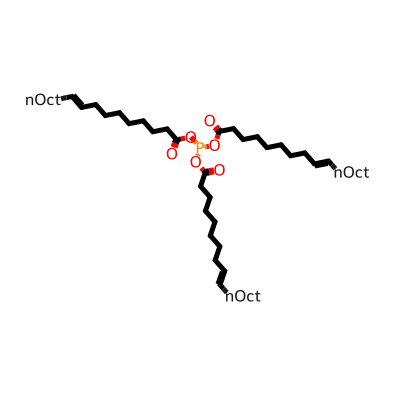 CCCCCCCCC=CCCCCCCCC(=O)OP(OC(=O)CCCCCCCC=CCCCCCCCC)OC(=O)CCCCCCCC=CCCCCCCCC